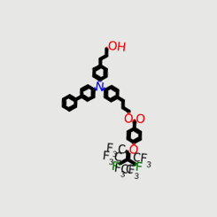 O=C(OCCCc1ccc(N(c2ccc(CCCO)cc2)c2ccc(-c3ccccc3)cc2)cc1)c1ccc(OC(=C(C(F)(C(F)(F)F)C(F)(F)F)C(F)(C(F)(F)F)C(F)(F)F)C(F)(F)F)cc1